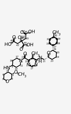 CO[C@H]1COCC[C@H]1NC1CCN(C(=O)c2ncnc(NC[C@H]3CCC[C@@H](c4ccc(C)cc4)O3)c2C)CC1.O=C(O)CC(O)(CC(=O)O)C(=O)O